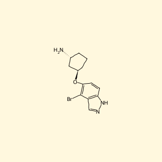 N[C@@H]1CCC[C@@H](Oc2ccc3[nH]ncc3c2Br)C1